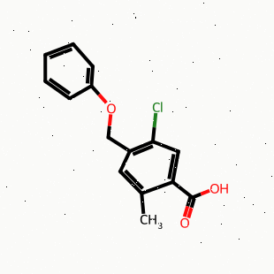 Cc1cc(COc2ccccc2)c(Cl)cc1C(=O)O